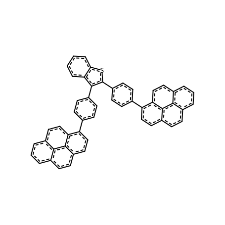 c1cc2ccc3ccc(-c4ccc(-c5sc6ccccc6c5-c5ccc(-c6ccc7ccc8cccc9ccc6c7c89)cc5)cc4)c4ccc(c1)c2c34